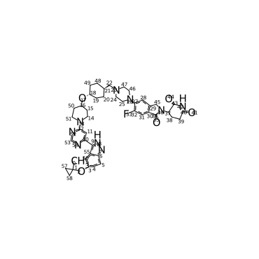 CC1(Oc2ccc3n[nH]c(-c4cc(N5CCC(O[C@H]6CC[C@H](CN7CCN(c8cc9c(cc8F)C(=O)N(C8CCC(=O)NC8=O)C9)CC7)CC6)CC5)ncn4)c3c2)CC1